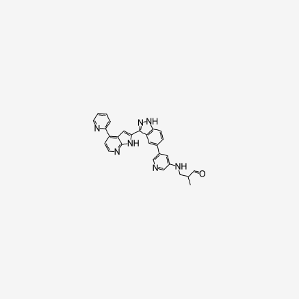 CC(C=O)CNc1cncc(-c2ccc3[nH]nc(-c4cc5c(-c6ccccn6)ccnc5[nH]4)c3c2)c1